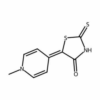 CN1C=CC(=C2SC(=S)NC2=O)C=C1